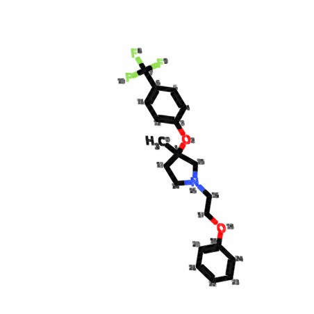 CC1(Oc2ccc(C(F)(F)F)cc2)CCN(CCOc2ccccc2)C1